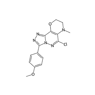 COc1ccc(-c2nnc3c4c(c(Cl)nn23)N(C)CCO4)cc1